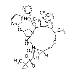 C[C@@H]1CC/C=C\[C@@H]2C[C@@]2(C(=O)NS(=O)(=O)C2(C)CC2)NC(=O)[C@@H]2C[C@@H](Oc3cc(-c4nccs4)ccn3)CN2C(=O)[C@@H](N(C(=O)O)C(C)(C)C(F)(F)F)[C@H](C)C1